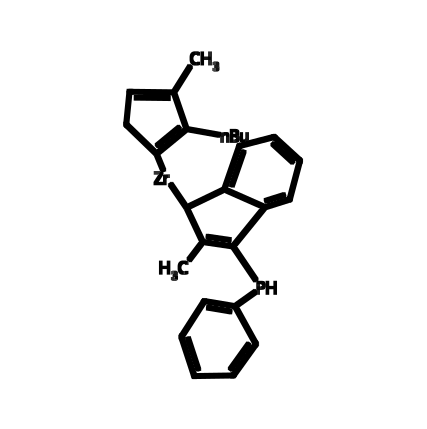 CCCCC1=[C]([Zr][CH]2C(C)=C(Pc3ccccc3)c3ccccc32)CC=C1C